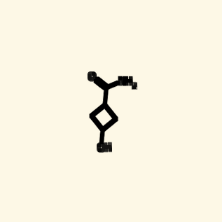 NC(=O)C1CC(O)C1